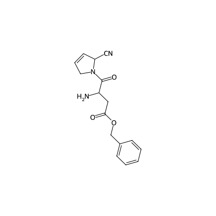 N#CC1C=CCN1C(=O)C(N)CC(=O)OCc1ccccc1